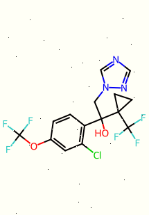 OC(Cn1cncn1)(c1ccc(OC(F)(F)F)cc1Cl)C1(C(F)(F)F)CC1